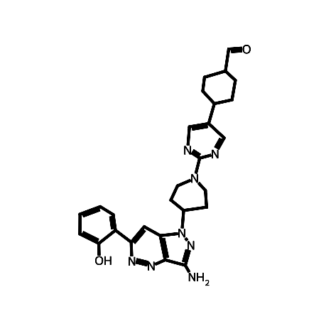 Nc1nn(C2CCN(c3ncc(C4CCC(C=O)CC4)cn3)CC2)c2cc(-c3ccccc3O)nnc12